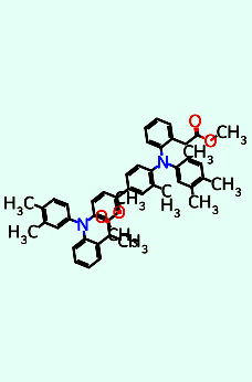 COC(=O)C(C)c1ccccc1N(c1ccc(C)c(C)c1)c1ccc(-c2ccc(N(c3ccc(C)c(C)c3)c3ccccc3C(C)C(=O)OC)c(C)c2)cc1C